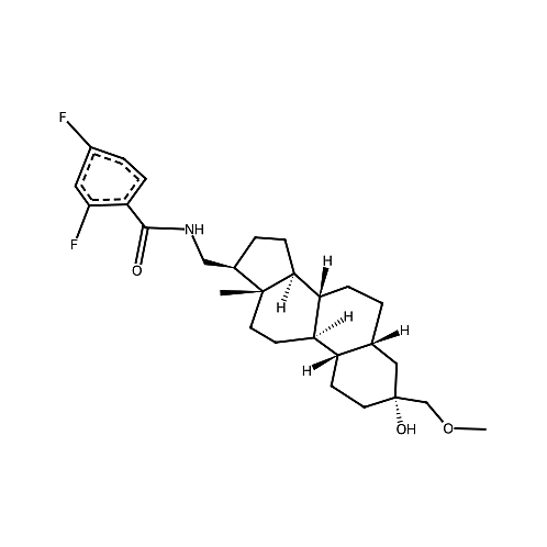 COC[C@@]1(O)CC[C@H]2[C@H](CC[C@@H]3[C@@H]2CC[C@]2(C)[C@@H](CNC(=O)c4ccc(F)cc4F)CC[C@@H]32)C1